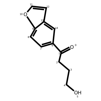 O=C(CCCO)c1ccc2occc2c1